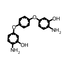 Nc1ccc(Oc2ccc(Oc3ccc(N)c(O)c3)cc2)cc1O